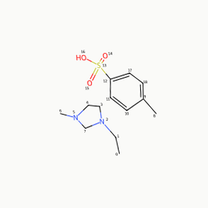 CCN1CCN(C)C1.Cc1ccc(S(=O)(=O)O)cc1